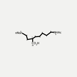 CCCCCCCCCCCC(CCCCCNC(C)=O)C(=O)O